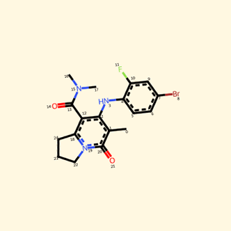 Cc1c(Nc2ccc(Br)cc2F)c(C(=O)N(C)C)c2n(c1=O)CCC2